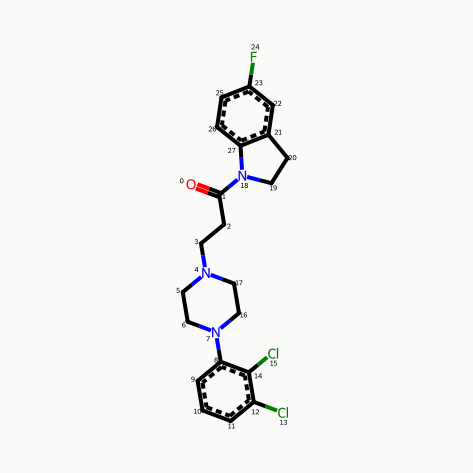 O=C(CCN1CCN(c2cccc(Cl)c2Cl)CC1)N1CCc2cc(F)ccc21